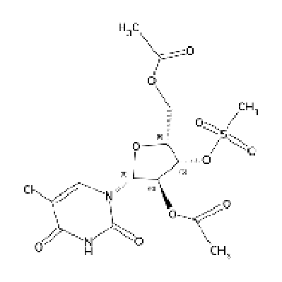 CC(=O)OC[C@H]1O[C@@H](n2cc(Cl)c(=O)[nH]c2=O)[C@H](OC(C)=O)[C@H]1OS(C)(=O)=O